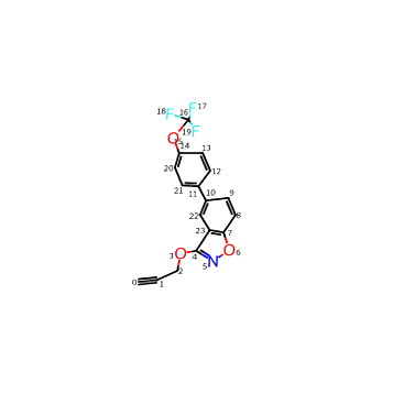 C#CCOc1noc2ccc(-c3ccc(OC(F)(F)F)cc3)cc12